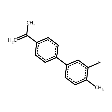 C=C(C)c1ccc(-c2ccc(C)c(F)c2)cc1